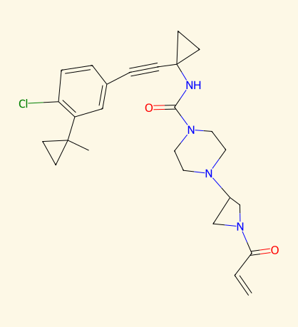 C=CC(=O)N1CC(N2CCN(C(=O)NC3(C#Cc4ccc(Cl)c(C5(C)CC5)c4)CC3)CC2)C1